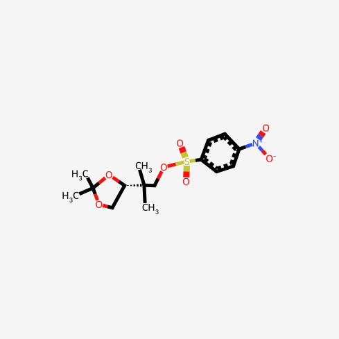 CC1(C)OC[C@@H](C(C)(C)COS(=O)(=O)c2ccc([N+](=O)[O-])cc2)O1